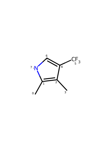 CC1=C(C)C(C(F)(F)F)=[C][N]1